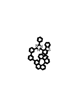 c1ccc(-c2nc(-c3cccc(-c4cccc(-c5cc6ccc7cccc8c9cccc%10ccc%11cccc(c(c5)c6c78)c%11c%109)c4)c3)nc(-c3cccc4sc5ccccc5c34)n2)cc1